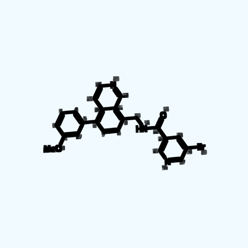 COc1cccc(-c2ccc(CNC(=O)c3cncc(Br)c3)c3cnccc23)c1